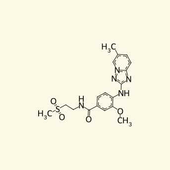 COc1cc(C(=O)NCCS(C)(=O)=O)ccc1Nc1nc2ccc(C)cn2n1